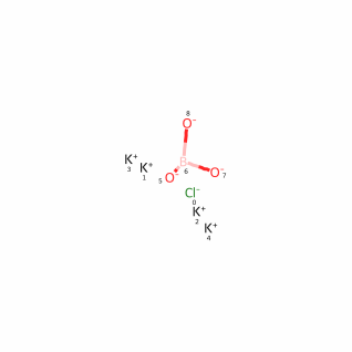 [Cl-].[K+].[K+].[K+].[K+].[O-]B([O-])[O-]